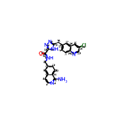 Nc1nccc2cc(CNC(=O)c3nnc(Cc4ccc5ncc(Cl)cc5c4)[nH]3)ccc12